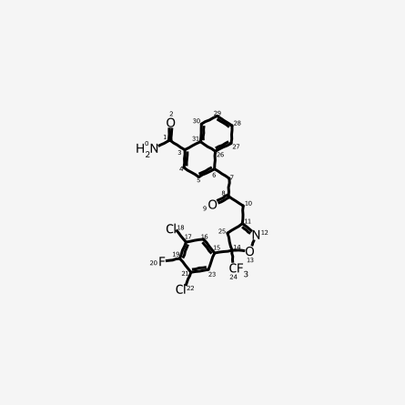 NC(=O)c1ccc(CC(=O)CC2=NOC(c3cc(Cl)c(F)c(Cl)c3)(C(F)(F)F)C2)c2ccccc12